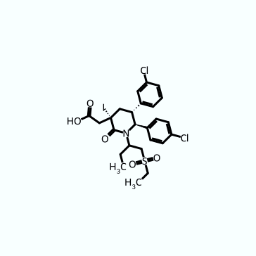 CCC(CS(=O)(=O)CC)N1C(=O)[C@@](I)(CC(=O)O)C[C@H](c2cccc(Cl)c2)[C@H]1c1ccc(Cl)cc1